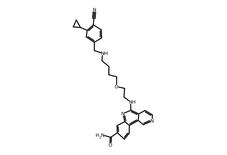 N#Cc1ccc(CNCCCCOCCNc2nc3cc(C(N)=O)ccc3c3cnccc23)cc1C1CC1